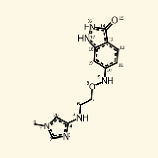 Cn1cnc(NCCONc2ccc3c(=O)[nH][nH]c3c2)c1